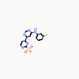 CS(=O)(=O)c1nccc(-c2cc(Nc3cccc(F)c3)ncn2)n1